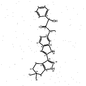 CN(C(=O)C(O)c1ccccc1)c1ccc2cc(-c3n[nH]c4c3CCC(C)(C)C4)[nH]c2c1